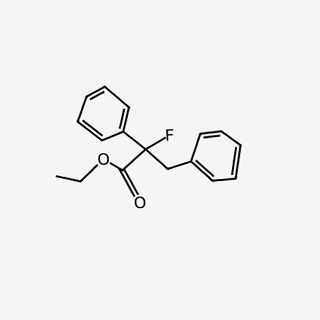 CCOC(=O)C(F)(Cc1ccccc1)c1ccccc1